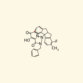 Cc1ccc2c(c1F)CC1Cc3ccccc3C21N1CN(Cc2ccccc2)C(=O)c2c(O)c(=O)ccn21